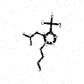 CCCCn1nnc(C(Cl)(Cl)Cl)c1CC(C)C